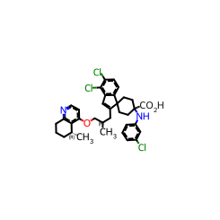 C[C@@H](COc1ccnc2c1[C@H](C)CCC2)CC1=Cc2c(ccc(Cl)c2Cl)C12CCC(Nc1cccc(Cl)c1)(C(=O)O)CC2